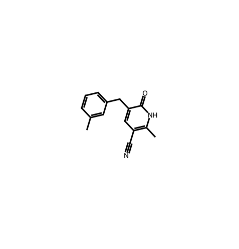 Cc1cccc(Cc2cc(C#N)c(C)[nH]c2=O)c1